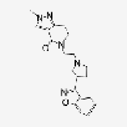 Cn1cc2c(n1)CCN(CCN1CCC(c3noc4ccccc34)C1)C2=O